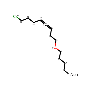 CCCCCCCCCCCCCOCCC=C=CCCCCl